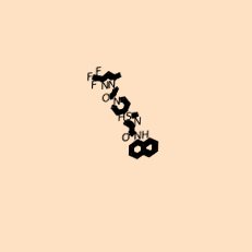 Cc1cc(C(F)(F)F)nn1CC(=O)N1CCC([SH]2C=NC(C(=O)N[C@H]3CCCc4ccccc43)=C2)CC1